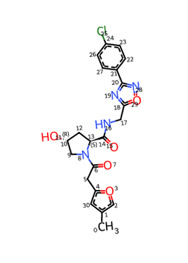 Cc1coc(CC(=O)N2C[C@H](O)C[C@H]2C(=O)NCc2nc(-c3ccc(Cl)cc3)no2)c1